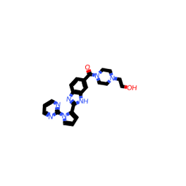 O=C(c1ccc2nc(-c3cccn3-c3ncccn3)[nH]c2c1)N1CCN(CCO)CC1